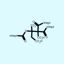 CCCCCCCC(=O)OC(CC(=O)O)(C(=O)O)C(C(=O)O)(C(=O)CCCCCCC)C(=O)CCCCCCC